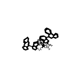 CCCC1=Cc2c(-c3cc4ccccc4c4ccccc34)cccc2[CH]1[Zr]([Cl])([Cl])(=[C](C)C)[CH]1C(CCC)=Cc2c(-c3cc4ccccc4c4ccccc34)cccc21